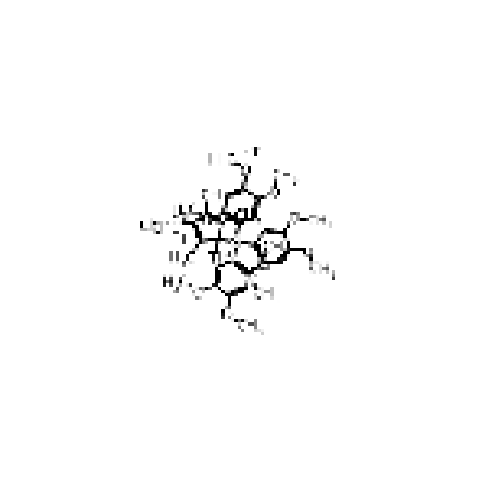 COc1cc(OC)c([Si](c2cc(OC)c(OC)cc2OC)(c2cc(OC)c(OC)cc2OC)[C]2([Ti+3])C(C)=C(C)C(C)=C2C)cc1OC.[Cl-].[Cl-].[Cl-]